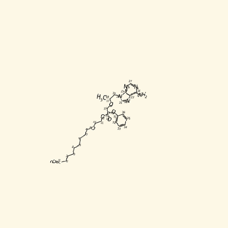 CCCCCCCCCCCCCCCCCCOCCOP(=O)(CO[C@H](C)Cn1cnc2c(N)ncnc21)Oc1ccccc1